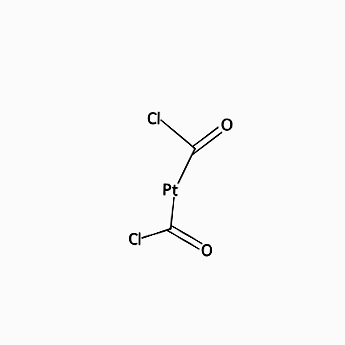 O=[C](Cl)[Pt][C](=O)Cl